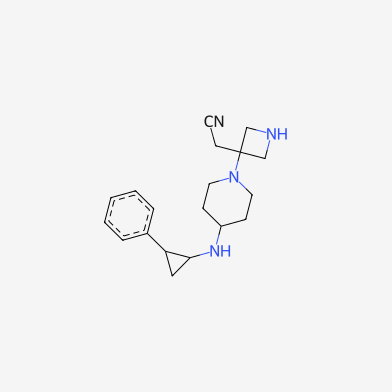 N#CCC1(N2CCC(NC3CC3c3ccccc3)CC2)CNC1